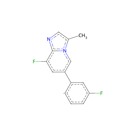 Cc1cnc2c(F)cc(-c3[c]ccc(F)c3)cn12